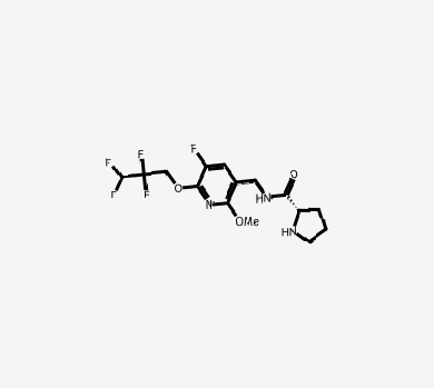 COc1nc(OCC(F)(F)C(F)F)c(F)cc1CNC(=O)[C@@H]1CCCN1